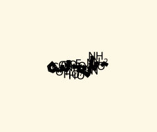 C#C[C@]1(O)[C@H](n2cnc3c(OCC)nc(N)nc32)O[C@](F)(COP(C)(=O)N[C@@H](C)C(=O)OC2CCCCC2)[C@H]1O